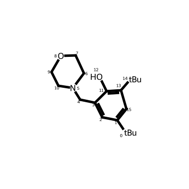 CC(C)(C)c1cc(CN2CCOCC2)c(O)c(C(C)(C)C)c1